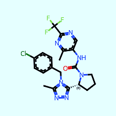 Cc1nc(C(F)(F)F)ncc1NC(=O)N1CCC[C@@H]1c1nnc(C)n1Cc1ccc(Cl)cc1